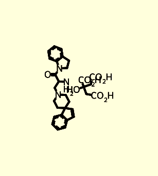 NC(CN1CCC2(C=Cc3ccccc32)CC1)C(=O)N1CCc2ccccc21.O=C(O)CC(O)(CC(=O)O)C(=O)O